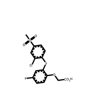 CS(=O)(=O)c1ccc(Sc2cc(F)ccc2OCC(=O)O)c(Cl)c1